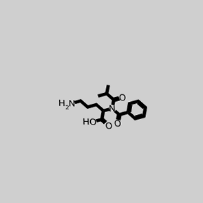 CC(C)C(=O)N(C(=O)c1ccccc1)C(CCCN)C(=O)O